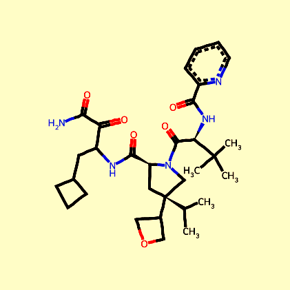 CC(C)[C@@]1(C2COC2)C[C@@H](C(=O)NC(CC2CCC2)C(=O)C(N)=O)N(C(=O)[C@@H](NC(=O)c2ccccn2)C(C)(C)C)C1